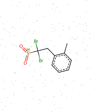 Cc1ccccc1CC(Br)(Br)[SH](=O)=O